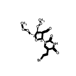 COOC[C@H]1O[C@@H](n2cc(C=CBr)c(=O)[nH]c2=O)C(=C=O)[C@@H]1OOC